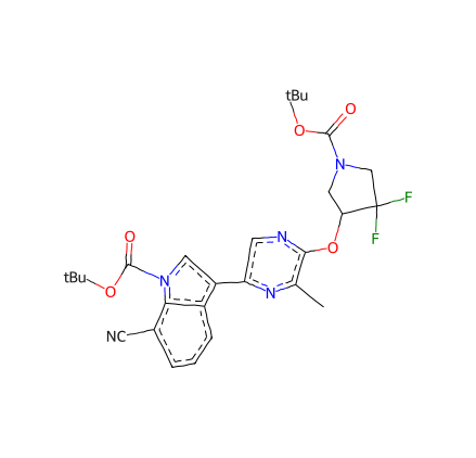 Cc1nc(-c2cn(C(=O)OC(C)(C)C)c3c(C#N)cccc23)cnc1OC1CN(C(=O)OC(C)(C)C)CC1(F)F